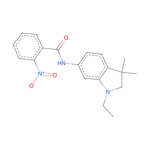 CCN1CC(C)(C)c2ccc(NC(=O)c3ccccc3[N+](=O)[O-])cc21